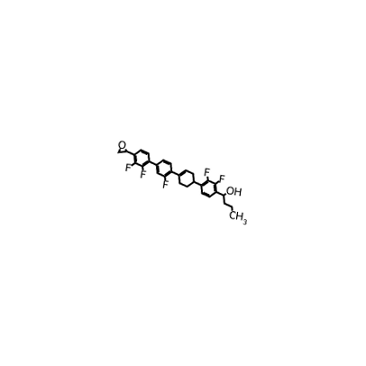 CCCC(O)c1ccc(C2CC=C(c3ccc(-c4ccc(C5CO5)c(F)c4F)cc3F)CC2)c(F)c1F